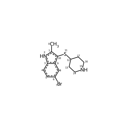 Cc1[nH]c2ccc(Br)cc2c1SC1CCNCC1